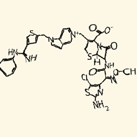 CO/N=C(\C(=O)N[C@@H]1C(=O)N2C(C(=O)[O-])=C(C[n+]3ccc4c(ccn4Cc4cc(C(=N)Nc5ccccc5)cs4)c3)CS[C@H]12)c1nc(N)sc1Cl